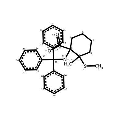 CSC1(C)CCCCC1(NC(c1ccccc1)(c1ccccc1)c1ccccc1)C(=O)O